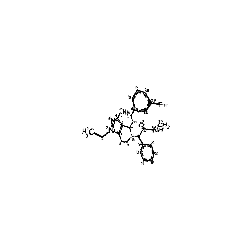 CCn1nc(C)c2c1CCN(C(C(=O)NC)c1ccccc1)C2CCc1cccc(F)c1